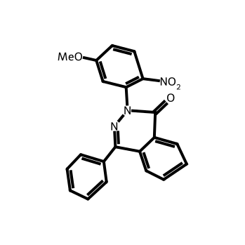 COc1ccc([N+](=O)[O-])c(-n2nc(-c3ccccc3)c3ccccc3c2=O)c1